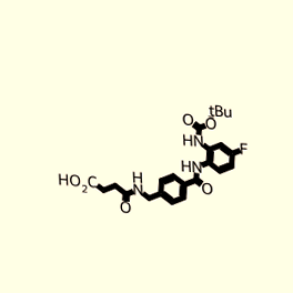 CC(C)(C)OC(=O)Nc1cc(F)ccc1NC(=O)c1ccc(CNC(=O)CCC(=O)O)cc1